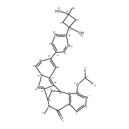 CN1C(=O)c2ccnc(OC(F)F)c2C2CC1c1nn3ccc(-c4cnc(C5(O)CC(C)(O)C5)nc4)cc3c12